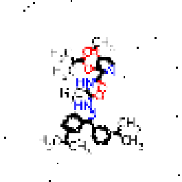 COc1ccnc(C(=O)N[C@@H](C)C(=O)NN=C(c2cccc(C(C)C)c2)c2cccc(C(C)C)c2)c1OC(=O)C(C)C